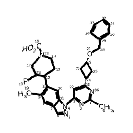 Cc1nc(-n2ncc3cc(C)c(C4CCN(C(=O)O)CC4F)cc32)cc([C@H]2C[C@@H](OCc3ccccc3)C2)n1